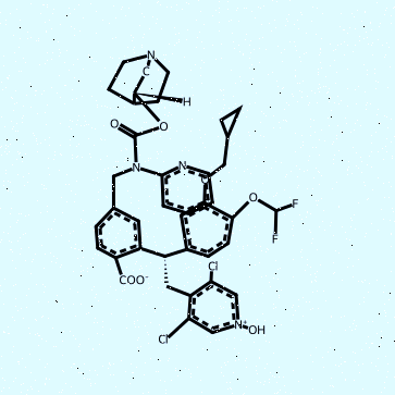 O=C([O-])c1ccc(CN(C(=O)O[C@H]2CN3CCC2CC3)c2ccccn2)cc1[C@@H](Cc1c(Cl)c[n+](O)cc1Cl)c1ccc(OC(F)F)c(OCC2CC2)c1